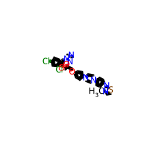 Cn1ccs/c1=N/c1ccc(N2CCN(c3ccc(OCC4COC(Cn5cncn5)(c5ccc(Cl)cc5Cl)O4)cc3)CC2)cc1